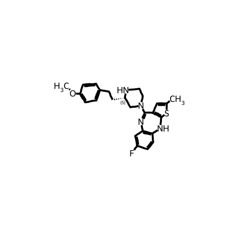 COc1ccc(CC[C@H]2CN(C3=Nc4cc(F)ccc4Nc4sc(C)cc43)CCN2)cc1